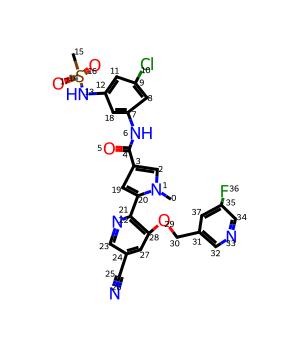 Cn1cc(C(=O)Nc2cc(Cl)cc(NS(C)(=O)=O)c2)cc1-c1ncc(C#N)cc1OCc1cncc(F)c1